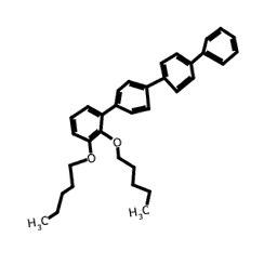 CCCCCOc1cccc(-c2ccc(-c3ccc(-c4ccccc4)cc3)cc2)c1OCCCCC